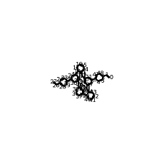 C=Cc1ccc(-c2cc3c4c(c2)-n2c5ccccc5c5cc(-c6ccc(C=C)cc6)cc(c52)B4c2cccc4c5ccccc5n-3c24)cc1